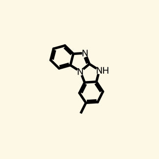 Cc1ccc2[nH]c3nc4ccccc4n3c2c1